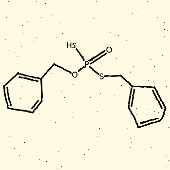 O=P(S)(OCc1ccccc1)SCc1ccccc1